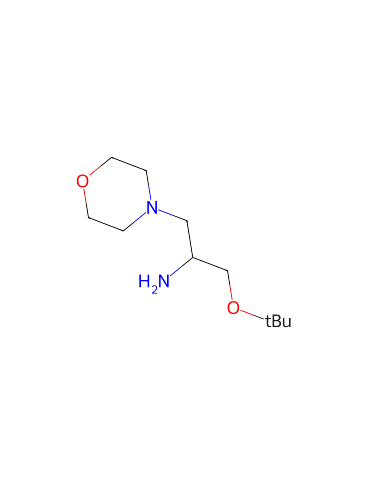 CC(C)(C)OCC(N)CN1CCOCC1